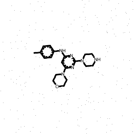 Cc1ccc(Nc2cc(N3CCOCC3)nc(N3CCNCC3)n2)cc1